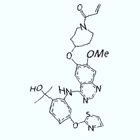 C=CC(=O)N1CCC(Oc2cc3c(Nc4cc(Oc5nccs5)ccc4C(C)(C)O)ncnc3cc2OC)CC1